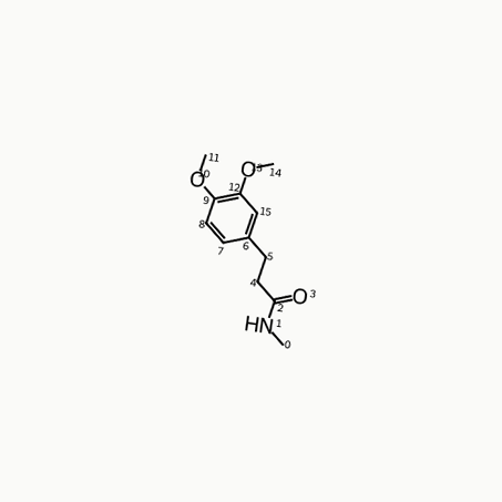 CNC(=O)CCc1ccc(OC)c(OC)c1